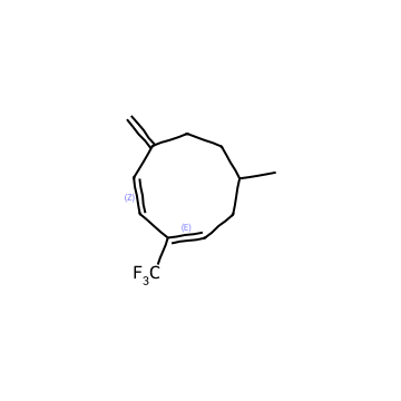 C=C1/C=C\C(C(F)(F)F)=C/CC(C)CC1